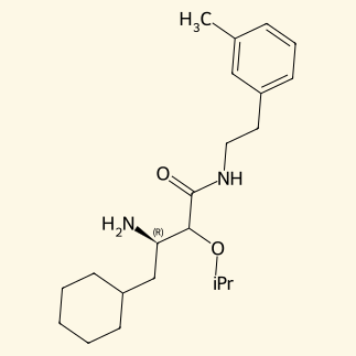 Cc1cccc(CCNC(=O)C(OC(C)C)[C@H](N)CC2CCCCC2)c1